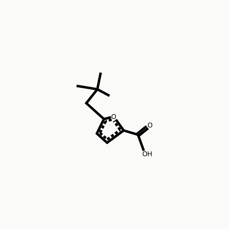 CC(C)(C)Cc1ccc(C(=O)O)o1